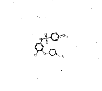 Cc1ccc(S(=O)(=O)Nc2ccc(Cl)c(O[C@@H]3CCN(C)C3)c2)cc1